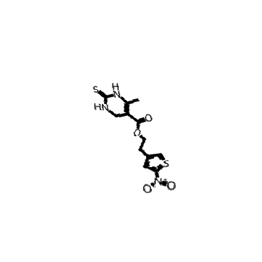 CC1=C(C(=O)OCCc2csc([N+](=O)[O-])c2)CNC(=S)N1